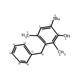 Cc1cc(C(C)(C)C)c(O)c(C)c1Cc1ccccc1